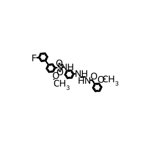 CCOc1ccc(-c2cccc(F)c2)cc1S(=O)(=O)Nc1cccc(NCCNC(=O)c2ccccc2OC)c1